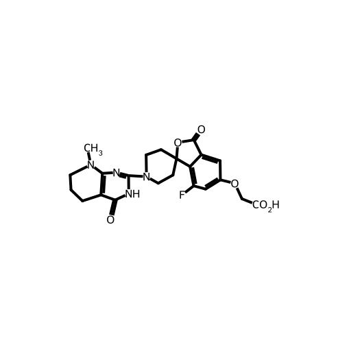 CN1CCCc2c1nc(N1CCC3(CC1)OC(=O)c1cc(OCC(=O)O)cc(F)c13)[nH]c2=O